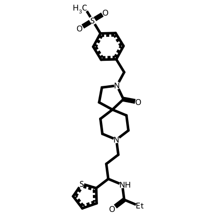 CCC(=O)NC(CCN1CCC2(CC1)CCN(Cc1ccc(S(C)(=O)=O)cc1)C2=O)c1cccs1